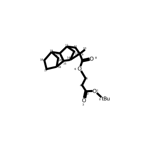 CC(C)(C)OC(=O)CCOC(=O)C1(C)CC2CC1C1C3CCC(C3)C21